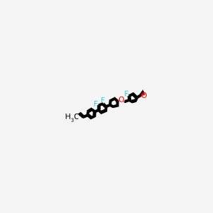 C/C=C/c1ccc(-c2ccc(C3CCC(OCc4ccc(C5CO5)cc4F)CC3)c(F)c2F)cc1